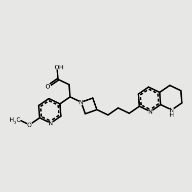 COc1ccc(C(CC(=O)O)N2CC(CCCc3ccc4c(n3)NCCC4)C2)cn1